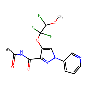 CC(C)C(=O)NC(=O)c1nn(-c2cccnc2)cc1OC(F)(F)C(F)OC(F)(F)F